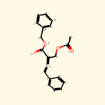 CC(=O)OCC(=C=Cc1ccccc1)C(=O)OCc1ccccc1